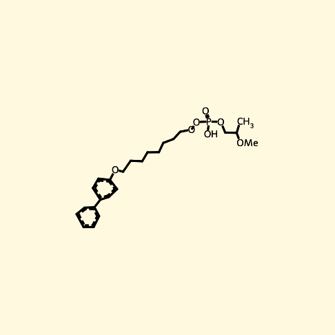 COC(C)COP(=O)(O)OOCCCCCCCCOc1ccc(-c2ccccc2)cc1